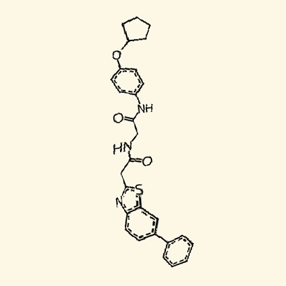 O=C(Cc1nc2ccc(-c3ccccc3)cc2s1)NCC(=O)Nc1ccc(OC2CCCC2)cc1